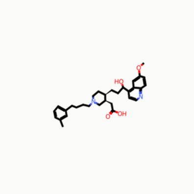 COc1ccc2nccc(C(O)CC[C@@H]3CCN(CCCCc4cccc(C)c4)C[C@@H]3CC(=O)O)c2c1